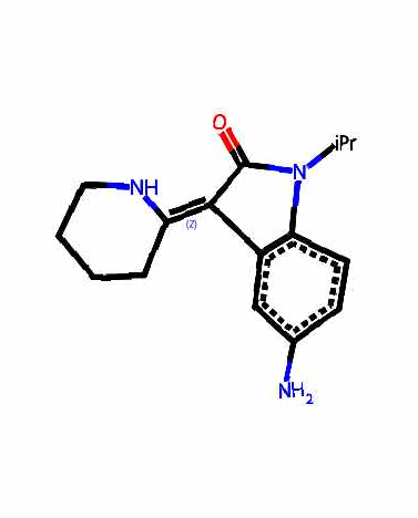 CC(C)N1C(=O)/C(=C2/CCCCN2)c2cc(N)ccc21